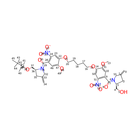 C=C1C[C@@H](CO)N(C(=O)c2cc(OC)c(OCCCCCOc3cc([N+](=O)[O-])c(C(=O)N4CC(=C)C[C@H]4CO[Si](C)(C)C(C)(C)C)cc3OC)cc2[N+](=O)[O-])C1